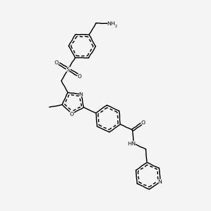 Cc1oc(-c2ccc(C(=O)NCc3cccnc3)cc2)nc1CS(=O)(=O)c1ccc(CN)cc1